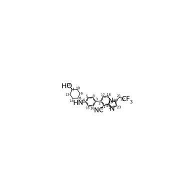 N#Cc1c(-c2ccc(N[C@H]3CC[C@H](O)CC3)cc2)ccn2c(CC(F)(F)F)cnc12